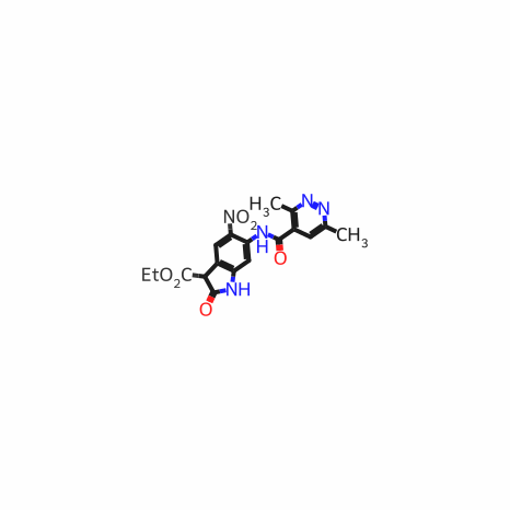 CCOC(=O)C1C(=O)Nc2cc(NC(=O)c3cc(C)nnc3C)c([N+](=O)[O-])cc21